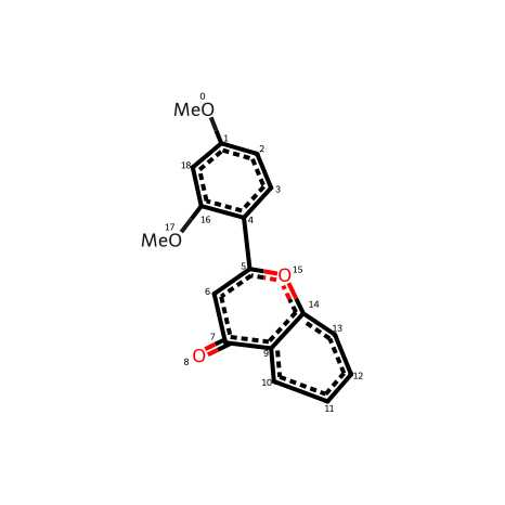 COc1ccc(-c2cc(=O)c3ccccc3o2)c(OC)c1